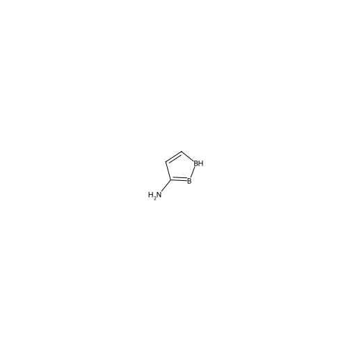 NC1=BBC=C1